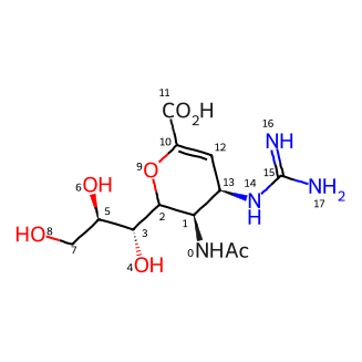 CC(=O)N[C@H]1C([C@H](O)[C@H](O)CO)OC(C(=O)O)=C[C@H]1NC(=N)N